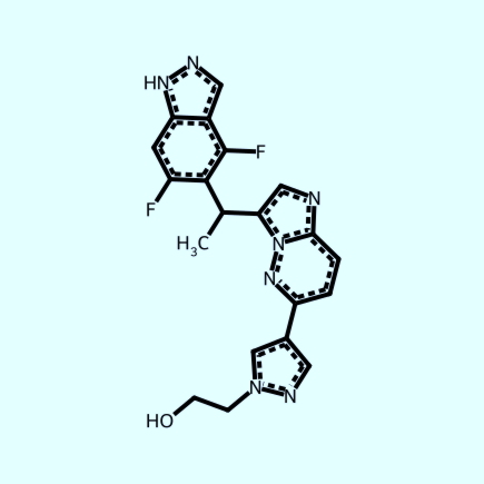 CC(c1c(F)cc2[nH]ncc2c1F)c1cnc2ccc(-c3cnn(CCO)c3)nn12